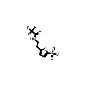 O=C(NCCc1ccc(S(=O)(=O)Cl)s1)C(F)(F)F